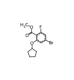 COC(=O)c1c(F)cc(Br)cc1OC1CCCC1